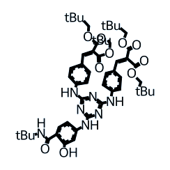 CC(C)(C)COC(=O)C(=Cc1ccc(Nc2nc(Nc3ccc(C=C(C(=O)OCC(C)(C)C)C(=O)OCC(C)(C)C)cc3)nc(Nc3ccc(C(=O)NC(C)(C)C)c(O)c3)n2)cc1)C(=O)OCC(C)(C)C